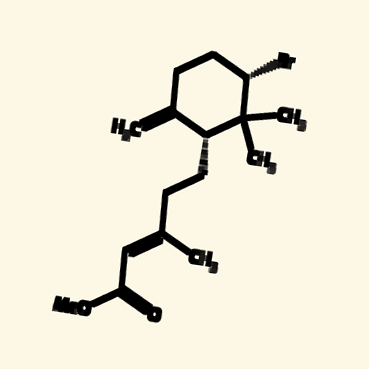 C=C1CC[C@H](Br)C(C)(C)[C@@H]1CC/C(C)=C/C(=O)OC